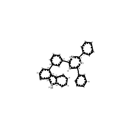 c1ccc(-c2nc(-c3ccccc3)nc(-c3cccc(-c4cccc5[nH]c6ccccc6c45)c3)n2)cc1